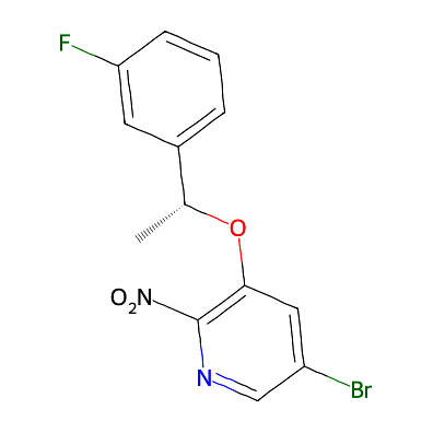 C[C@@H](Oc1cc(Br)cnc1[N+](=O)[O-])c1cccc(F)c1